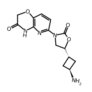 N[C@H]1C[C@H](C2CN(c3ccc4c(n3)NC(=O)CO4)C(=O)O2)C1